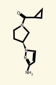 Nc1ccn([C@H]2CCN(C(=O)C3CC3)C2)n1